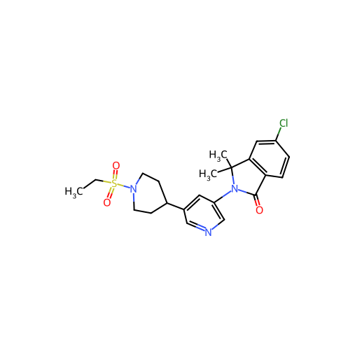 CCS(=O)(=O)N1CCC(c2cncc(N3C(=O)c4ccc(Cl)cc4C3(C)C)c2)CC1